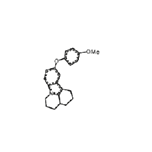 COc1ccc(Oc2ccc3c(c2)c2c4n3CCCC4CCC2)cc1